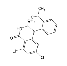 CC(C)c1ccccc1-n1c(=O)[nH]c(=O)c2c(Cl)cc(Cl)nc21